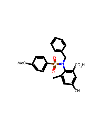 COc1ccc(S(=O)(=O)N(Cc2ccccc2)c2c(C)cc(C#N)cc2C(=O)O)cc1